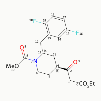 CCOC(=O)CC(=O)[C@H]1CCN(C(=O)OC)[C@H](Cc2cc(F)ccc2F)C1